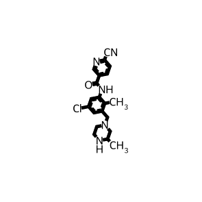 Cc1c(CN2CCNC(C)C2)cc(Cl)cc1NC(=O)c1ccc(C#N)nc1